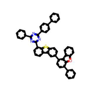 c1ccc(-c2ccc(-c3nc(-c4ccccc4)nc(-c4cccc5c4sc4ccc(-c6ccc(-c7ccccc7)c7oc8ccccc8c67)cc45)n3)cc2)cc1